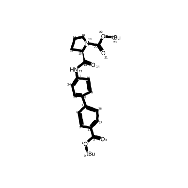 CC(C)(C)OC(=O)c1ccc(-c2ccc(NC(=O)[C@H]3CCCN3C(=O)OC(C)(C)C)cc2)cc1